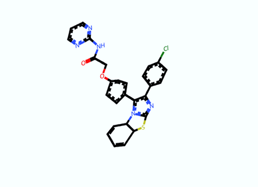 O=C(COc1ccc(-c2c(-c3ccc(Cl)cc3)nc3n2C2C=CC=CC2S3)cc1)Nc1ncccn1